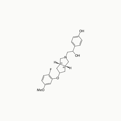 COc1ccc(F)c(OC2C[C@@H]3CN(CC(O)c4ccc(O)cc4)C[C@@H]3C2)c1